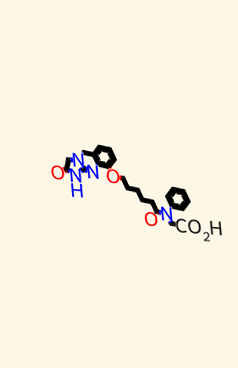 O=C(O)CN(C(=O)CCCCCOc1cccc2c1N=C1NC(=O)CN1C2)c1ccccc1